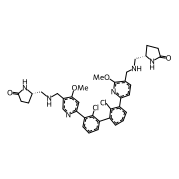 COc1cc(-c2cccc(-c3cccc(-c4ccc(CNC[C@@H]5CCC(=O)N5)c(OC)n4)c3Cl)c2Cl)ncc1CNC[C@@H]1CCC(=O)N1